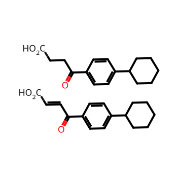 O=C(O)C=CC(=O)c1ccc(C2CCCCC2)cc1.O=C(O)CCC(=O)c1ccc(C2CCCCC2)cc1